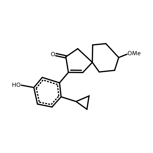 COC1CCC2(C=C(c3cc(O)ccc3C3CC3)C(=O)C2)CC1